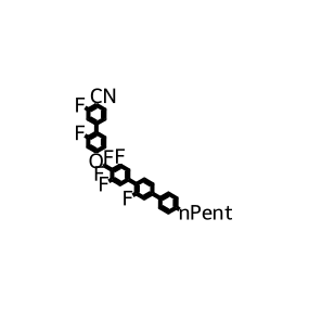 CCCCCc1ccc(-c2ccc(-c3cc(F)c(C(F)(F)Oc4ccc(-c5ccc(C#N)c(F)c5)c(F)c4)c(F)c3)c(F)c2)cc1